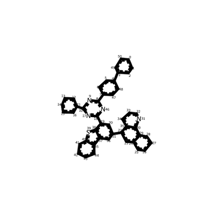 c1ccc(-c2ccc(-c3nc(-c4ccccc4)nc(-c4cc(-c5cc6ccccc6c6ncccc56)cc5c4sc4ccccc45)n3)cc2)cc1